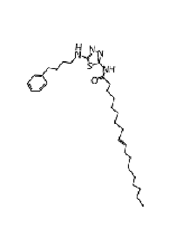 CCCCCCCCC=CCCCCCCCC(=O)Nc1nnc(NCCCCc2ccccc2)s1